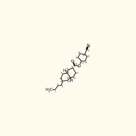 CCCCC1CC[C@@H]2C[C@H](C(=O)OC3CCC(C#N)CC3)CC[C@@H]2C1